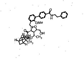 COc1c(CN2O[C@@H](CO)[C@@H]([C@H](C)O)[C@H]2C(=O)N[C@H]2C[C@H]3C[C@@H]([C@@H]2C)C3(C)C)cccc1-c1ccc(C(=O)NCCc2ccccc2)cc1